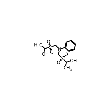 CC(O)S(=O)(=O)CN(CS(=O)(=O)C(C)O)c1ccccc1